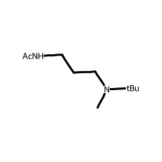 CC(=O)NCCCN(C)C(C)(C)C